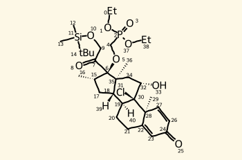 CCOP(=O)(CO[C@]1(C(=O)CO[Si](C)(C)C(C)(C)C)[C@@H](C)C[C@H]2[C@@H]3CCC4=CC(=O)C=C[C@]4(C)[C@@]3(Cl)[C@@H](O)C[C@@]21C)OCC